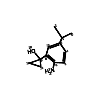 CC(C)c1ccc(N)c(C2(O)CC2)c1